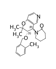 Cc1ccccc1CO[C@H]1[C@H](N2CCCCC2=O)c2cnccc2OC1(C)C